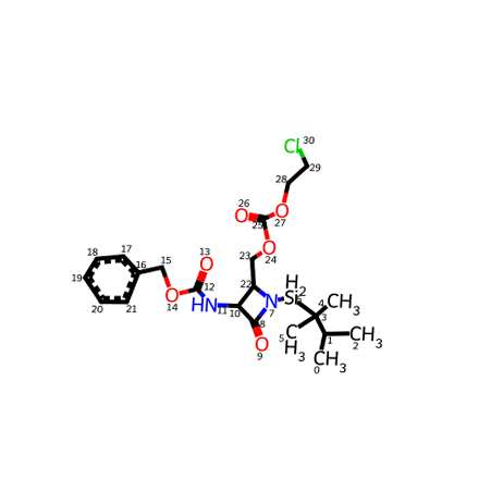 CC(C)C(C)(C)[SiH2]N1C(=O)C(NC(=O)OCc2ccccc2)C1COC(=O)OCCCl